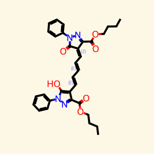 CCCCOC(=O)C1=NN(c2ccccc2)C(=O)\C1=C/C=C/C=C/c1c(C(=O)OCCCC)nn(-c2ccccc2)c1O